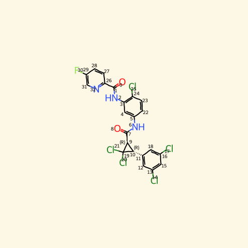 O=C(Nc1cc(NC(=O)[C@H]2[C@H](c3cc(Cl)cc(Cl)c3)C2(Cl)Cl)ccc1Cl)c1ccc(F)cn1